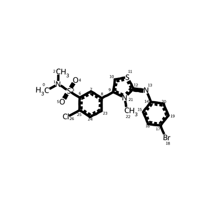 CN(C)S(=O)(=O)c1cc(-c2cs/c(=N/c3ccc(Br)cc3)n2C)ccc1Cl